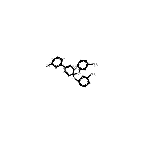 Nc1cccc(OC2(Oc3cccc(N)c3)C=CC(c3cccc(Cl)c3)=CC2Cl)c1